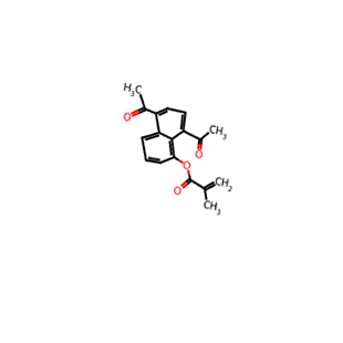 C=C(C)C(=O)Oc1cccc2c(C(C)=O)ccc(C(C)=O)c12